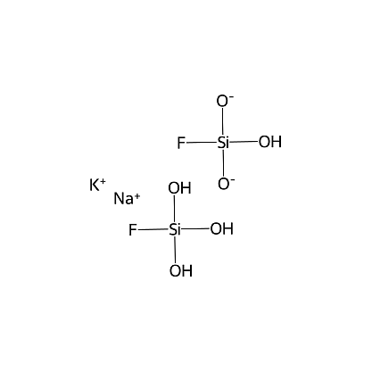 O[Si](O)(O)F.[K+].[Na+].[O-][Si]([O-])(O)F